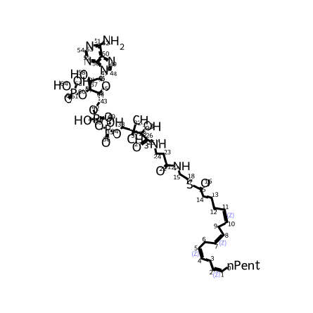 CCCCC/C=C\C/C=C\C/C=C\C/C=C\CCCC(=O)SCCNC(=O)CCNC(=O)C(O)C(C)(C)COP(=O)(O)OP(=O)(O)OC[C@H]1O[C@@H](n2cnc3c(N)ncnc32)[C@H](O)[C@@H]1OP(=O)(O)O